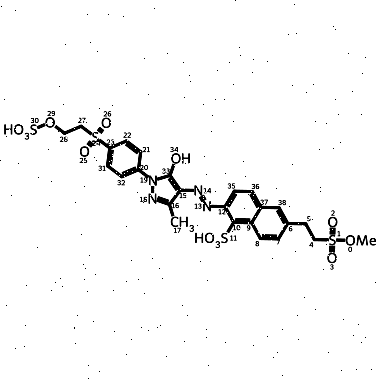 COS(=O)(=O)CCc1ccc2c(S(=O)(=O)O)c(N=Nc3c(C)nn(-c4ccc(S(=O)(=O)CCOS(=O)(=O)O)cc4)c3O)ccc2c1